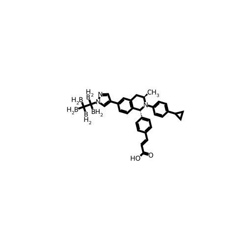 BC(B)(B)C(B)(B)n1cc(-c2ccc3c(c2)C[C@@H](C)N(c2ccc(C4CC4)cc2)[C@@H]3c2ccc(/C=C/C(=O)O)cc2)cn1